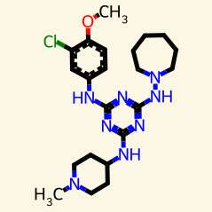 COc1ccc(Nc2nc(NC3CCN(C)CC3)nc(NN3CCCCCC3)n2)cc1Cl